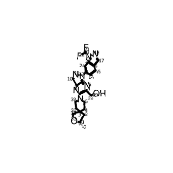 C[C@H]1CC2(CCN(c3nc4cnn(-c5ccc6cnn(C(F)F)c6c5)c4nc3CO)CC2)CO1